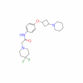 O=C(CN1CCC(F)(F)CC1)Nc1ccc(OC2CC(N3CCCCC3)C2)cc1